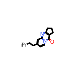 CC(C)CCc1ccn2c(=O)c3c(nc2c1)CCC3